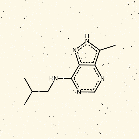 Cc1[nH]nc2c(NCC(C)C)ncnc12